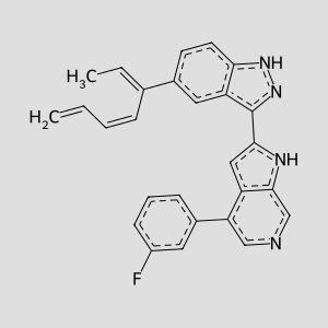 C=C/C=C\C(=C/C)c1ccc2[nH]nc(-c3cc4c(-c5cccc(F)c5)cncc4[nH]3)c2c1